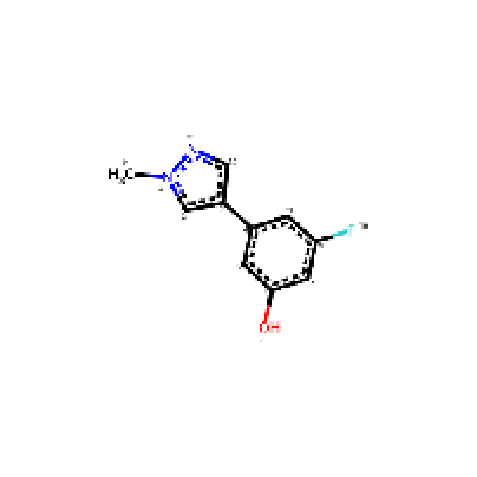 Cn1cc(-c2cc(O)cc(F)c2)cn1